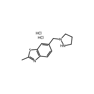 Cc1nc2ccc(CN3CCCN3)cc2s1.Cl.Cl